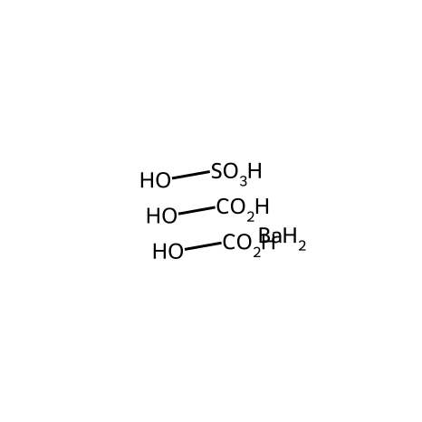 O=C(O)O.O=C(O)O.O=S(=O)(O)O.[BaH2]